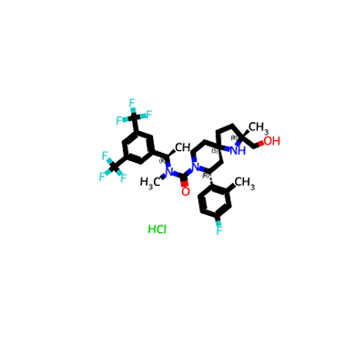 Cc1cc(F)ccc1[C@H]1C[C@@]2(CCN1C(=O)N(C)[C@H](C)c1cc(C(F)(F)F)cc(C(F)(F)F)c1)CC[C@](C)(CO)N2.Cl